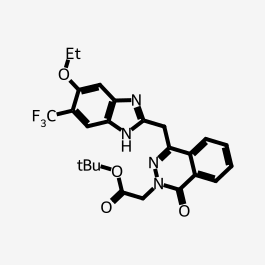 CCOc1cc2nc(Cc3nn(CC(=O)OC(C)(C)C)c(=O)c4ccccc34)[nH]c2cc1C(F)(F)F